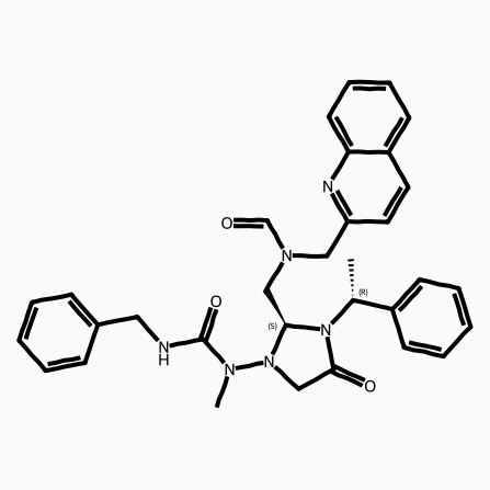 C[C@H](c1ccccc1)N1C(=O)CN(N(C)C(=O)NCc2ccccc2)[C@H]1CN(C=O)Cc1ccc2ccccc2n1